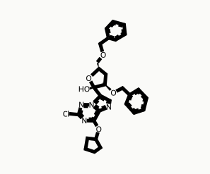 O[C@@]1(c2cnc3c(OC4CCCC4)nc(Cl)nn23)O[C@H](COCc2ccccc2)C[C@H]1OCc1ccccc1